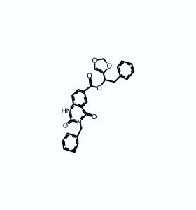 O=C(OC(Cc1ccccc1)C1=COCO1)c1ccc2[nH]c(=O)n(Cc3ccccc3)c(=O)c2c1